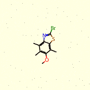 COc1c(C)c(C)c2nc(Br)sc2c1C